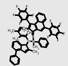 CC=C(C)C(C)=[C](C)[Zr]([CH]1C(C)=Cc2c(-c3ccccc3)cccc21)[Si](C)(/B=C1\C(C)=C(c2c(F)c(F)c(F)c(F)c2F)c2c1cc(-c1c(F)c(F)c(F)c(F)c1F)c1ccccc21)c1ccccc1